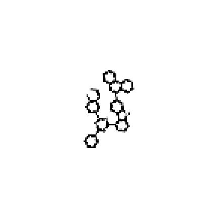 C/C=C\c1cc(-c2nc(-c3ccccc3)nc(-c3cccc4oc5cc(-c6cc7ccccc7c7ccccc67)ccc5c34)n2)ccc1C